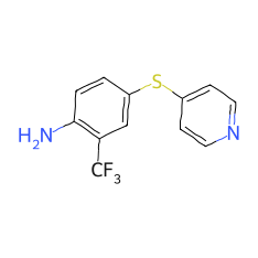 Nc1ccc(Sc2ccncc2)cc1C(F)(F)F